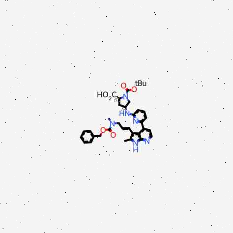 Cc1[nH]c2nccc(-c3cccc(N[C@H]4C[C@@H](C(=O)O)N(C(=O)OC(C)(C)C)C4)n3)c2c1C=CCN(C)C(=O)OCc1ccccc1